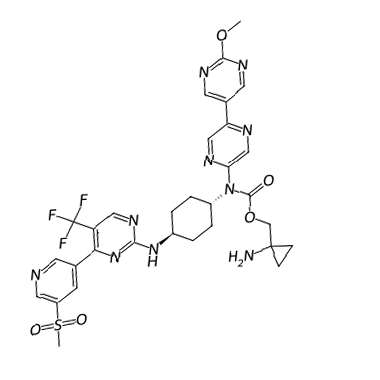 COc1ncc(-c2cnc(N(C(=O)OCC3(N)CC3)[C@H]3CC[C@H](Nc4ncc(C(F)(F)F)c(-c5cncc(S(C)(=O)=O)c5)n4)CC3)cn2)cn1